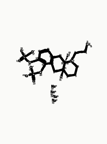 CCCN1CCC[C@@H]2Cc3c(ccc(OP(=O)([O-])[O-])c3OP(=O)([O-])[O-])C[C@H]21.[Na+].[Na+].[Na+].[Na+]